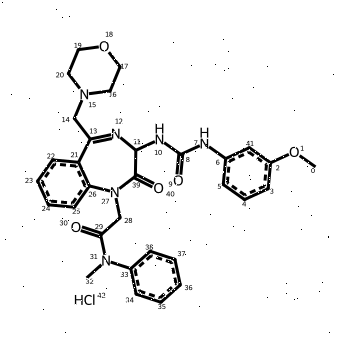 COc1cccc(NC(=O)NC2N=C(CN3CCOCC3)c3ccccc3N(CC(=O)N(C)c3ccccc3)C2=O)c1.Cl